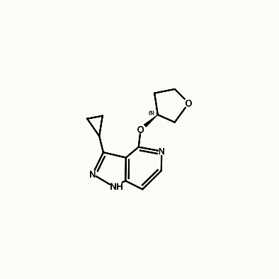 c1cc2[nH]nc(C3CC3)c2c(O[C@H]2CCOC2)n1